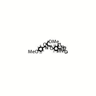 COCc1oc(-c2ccc(OC)cc2)nc1COc1ccc(-c2noc(=O)[nH]2)c(Cl)c1